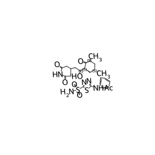 CC(=O)Nc1nnc(S(N)(=O)=O)s1.C[C@@H]1C[C@@H]([C@H](O)CC2CC(=O)NC(=O)C2)C(=O)[C@@H](C)C1.c1ccccc1